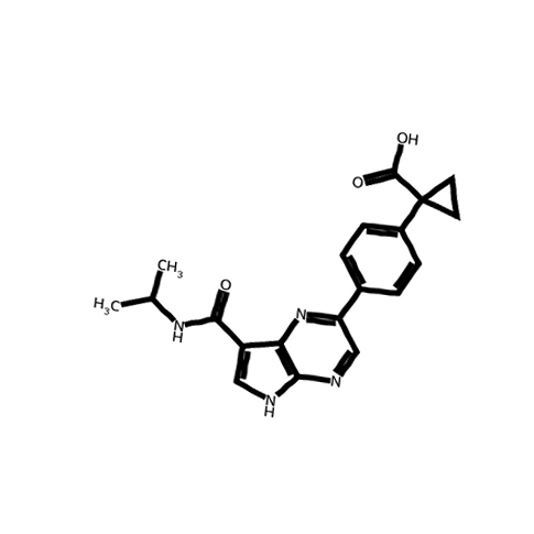 CC(C)NC(=O)c1c[nH]c2ncc(-c3ccc(C4(C(=O)O)CC4)cc3)nc12